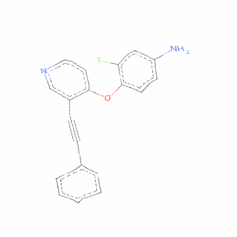 Nc1ccc(Oc2ccncc2C#Cc2ccccc2)c(F)c1